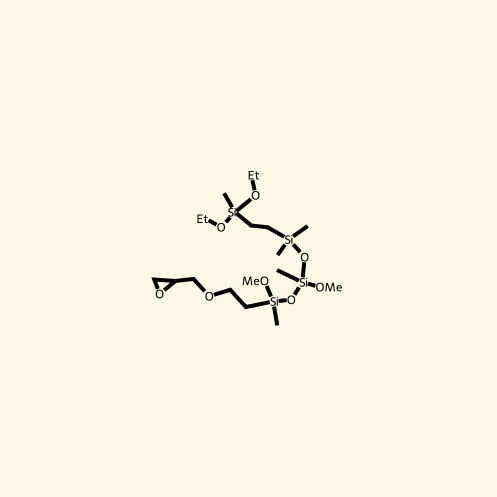 CCO[Si](C)(CC[Si](C)(C)O[Si](C)(OC)O[Si](C)(CCOCC1CO1)OC)OCC